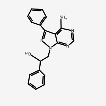 Nc1ncnc2c1c(-c1ccccc1)nn2CC(O)c1ccccc1